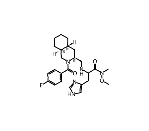 CON(C)C(=O)C(Cc1c[nH]cn1)NC[C@@H]1C[C@H]2CCCC[C@@H]2CN1C(=O)c1ccc(F)cc1